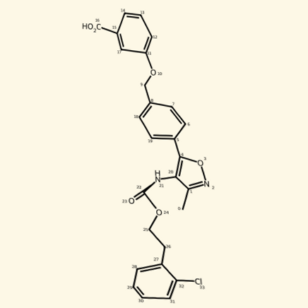 Cc1noc(-c2ccc(COc3cccc(C(=O)O)c3)cc2)c1NC(=O)OCCc1ccccc1Cl